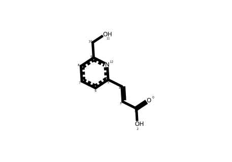 O=C(O)C=Cc1cccc(CO)n1